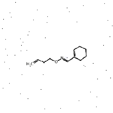 C=CCCO/N=[C]/C1=CCCCC1